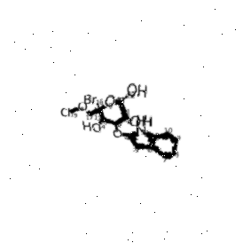 O[C@@H]1[C@@H](Oc2cc3ccccc3[nH]2)[C@@H](O)[C@@](Br)(COCl)O[C@@H]1O